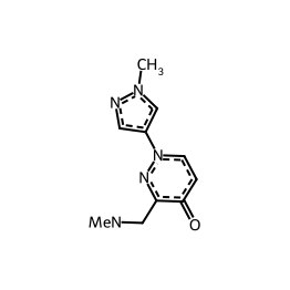 CNCc1nn(-c2cnn(C)c2)ccc1=O